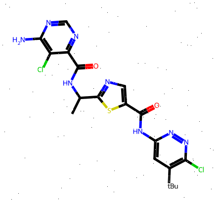 CC(NC(=O)c1ncnc(N)c1Cl)c1ncc(C(=O)Nc2cc(C(C)(C)C)c(Cl)nn2)s1